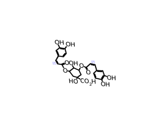 O=C(/C=C\c1ccc(O)c(O)c1)OC1CC(O)(C(=O)O)CC(OC(=O)/C=C\c2ccc(O)c(O)c2)C1O